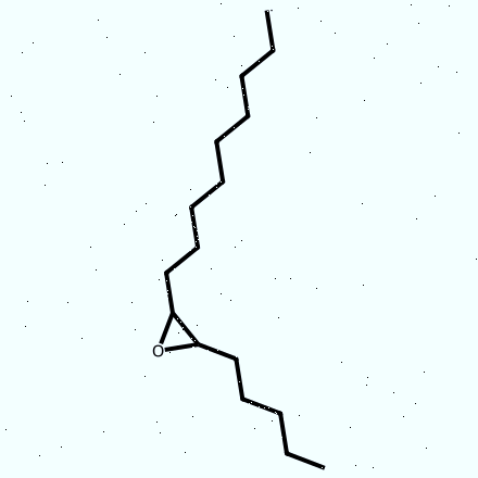 [CH2]CCCCCCCCC1OC1CCCCC